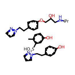 CC(C)NCC(O)COc1ccc(CCn2cccn2)cc1.Cc1ccc(O)cc1S(=O)(=O)O.Oc1ccc(CCn2cccn2)cc1